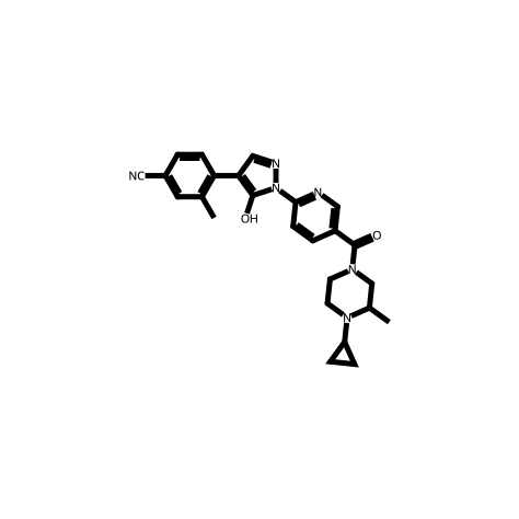 Cc1cc(C#N)ccc1-c1cnn(-c2ccc(C(=O)N3CCN(C4CC4)C(C)C3)cn2)c1O